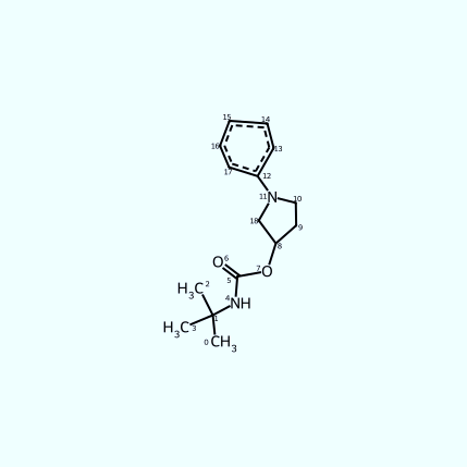 CC(C)(C)NC(=O)OC1CCN(c2ccccc2)C1